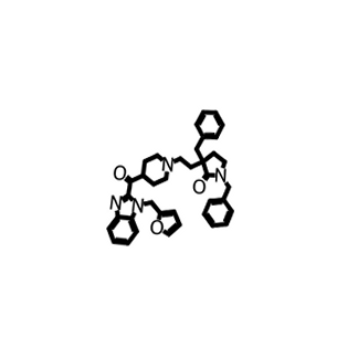 O=C(c1nc2ccccc2n1Cc1ccco1)C1CCN(CCC2(Cc3ccccc3)CCN(Cc3ccccc3)C2=O)CC1